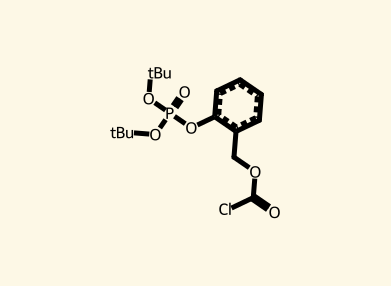 CC(C)(C)OP(=O)(Oc1ccccc1COC(=O)Cl)OC(C)(C)C